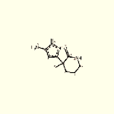 CC1(c2cc(N)[nH]n2)CCCNC1=O